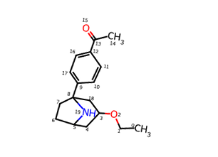 CCOC1CC2CCC(c3ccc(C(C)=O)cc3)(C1)N2